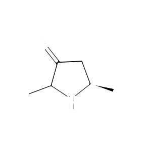 CC1N[C@H](C)CC1=O